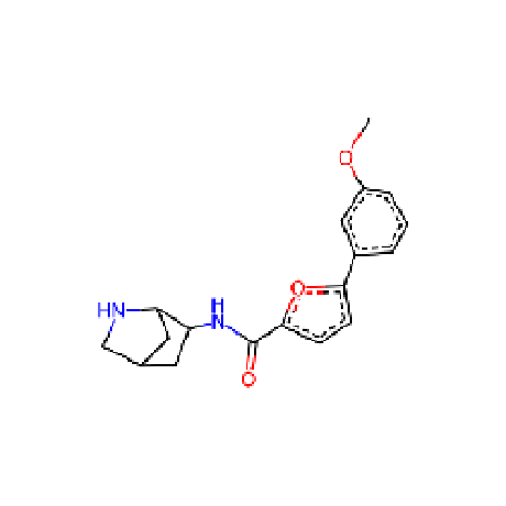 COc1cccc(-c2ccc(C(=O)NC3CC4CNC3C4)o2)c1